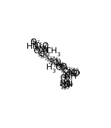 Cn1c(=O)n(C2CCC(=O)NC2=O)c2cccc(CCC3CC4(CCN(C[C@@]5(C)Cc6cc(NC(=O)c7cnn8cccnc78)c(N7CCOCC7)cc6O5)CC4)C3)c21